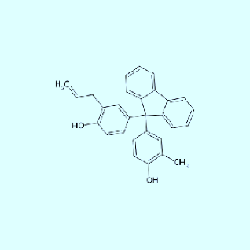 C=CCc1cc(C2(c3ccc(O)c(C)c3)c3ccccc3-c3ccccc32)ccc1O